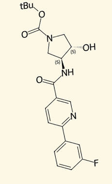 CC(C)(C)OC(=O)N1C[C@H](NC(=O)c2ccc(-c3cccc(F)c3)nc2)[C@@H](O)C1